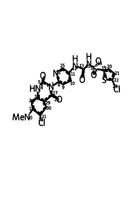 CNc1cc2[nH]c(=O)n(-c3ccc(NC(=O)NS(=O)(=O)c4ccc(Cl)s4)cn3)c(=O)c2cc1Cl